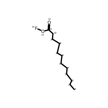 CCCCCCCCCCCC(=O)OF